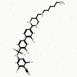 CCCCCCOCC1CSC(c2ccc(-c3ccc(C(F)(F)Oc4cc(F)c(C#N)c(F)c4)c(F)c3)c(F)c2)SC1